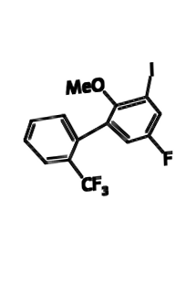 COc1c(I)cc(F)cc1-c1ccccc1C(F)(F)F